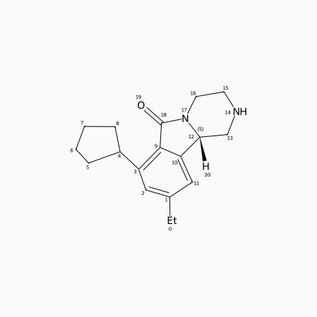 CCc1cc(C2CCCC2)c2c(c1)[C@H]1CNCCN1C2=O